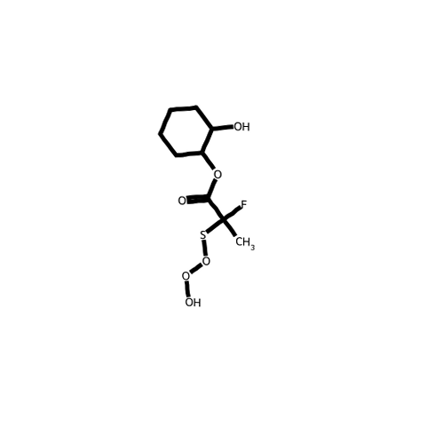 CC(F)(SOOO)C(=O)OC1CCCCC1O